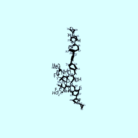 COC(=O)N[C@H](C(=O)N[C@@H](Cc1ccc(C#Cc2ccc(N3C[C@H]4C[C@@H]3CN4C3COC3)nc2)cc1)[C@@H](O)CN(Cc1c(F)cc(-c2ccn(C3CC3)n2)cc1F)NC(=O)[C@@H](NC(=O)O)C(C)(C)C(F)(F)F)C(C)(C)C(F)(F)F